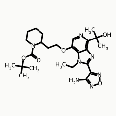 CCn1c(-c2nonc2N)nc2c(C(C)(C)O)ncc(OCCC3CCCCN3C(=O)OC(C)(C)C)c21